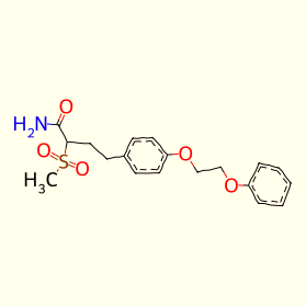 CS(=O)(=O)C(CCc1ccc(OCCOc2ccccc2)cc1)C(N)=O